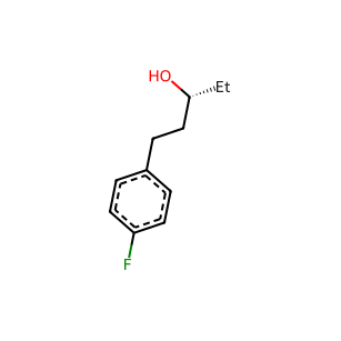 [CH2]C[C@@H](O)CCc1ccc(F)cc1